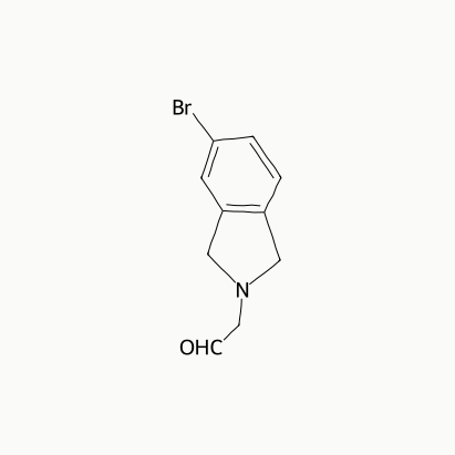 O=CCN1Cc2ccc(Br)cc2C1